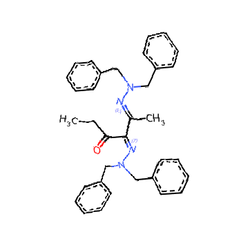 CCC(=O)C(=N\N(Cc1ccccc1)Cc1ccccc1)/C(C)=N/N(Cc1ccccc1)Cc1ccccc1